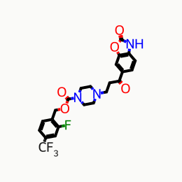 O=C(CCN1CCN(C(=O)OCc2ccc(C(F)(F)F)cc2F)CC1)c1ccc2[nH]c(=O)oc2c1